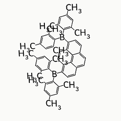 Cc1cc(C)c(B(c2c(C)cc(C)cc2C)c2ccc3ccc4ccc(B(c5c(C)cc(C)cc5C)c5c(C)cc(C)cc5C)c5ccc2c3c45)c(C)c1